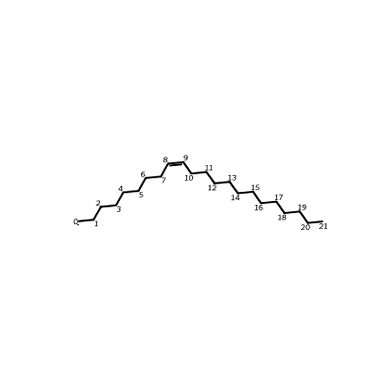 [CH2]CCCCCCC/C=C\CCCCCCCCCCCC